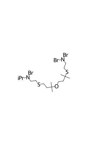 CC(C)N(Br)CCSCCC(C)(C)OCCC(C)(C)SCCN(Br)Br